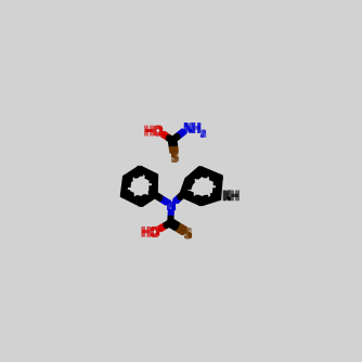 NC(O)=S.OC(=S)N(c1ccccc1)c1ccccc1.[KH]